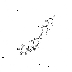 Cc1ccc(-c2cc(C)c(C#Cc3cc(C)c(C(F)(F)Oc4cc(F)c(F)c(F)c4)c(F)c3)c(F)c2)cc1